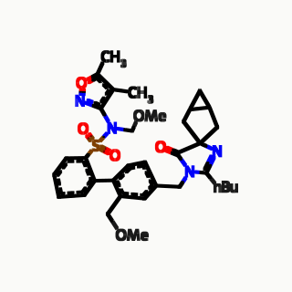 CCCCC1=NC2(CC3CC3C2)C(=O)N1Cc1ccc(-c2ccccc2S(=O)(=O)N(COC)c2noc(C)c2C)c(COC)c1